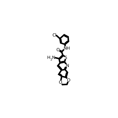 Nc1c(C(=O)Nc2cccc(Cl)c2)sc2nc3cc4c(cc3cc12)OCCO4